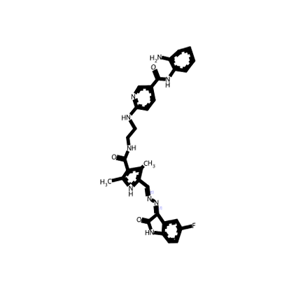 Cc1[nH]c(/C=N/N=C2\C(=O)Nc3ccc(F)cc32)c(C)c1C(=O)NCCNc1ccc(C(=O)Nc2ccccc2N)cn1